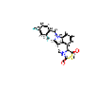 CN1C(=O)SC(=O)C1c1cccc2c1ccn2Cc1ccc(F)cc1F